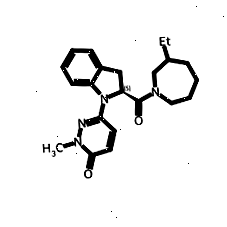 CCC1CCCCN(C(=O)[C@@H]2Cc3ccccc3N2c2ccc(=O)n(C)n2)C1